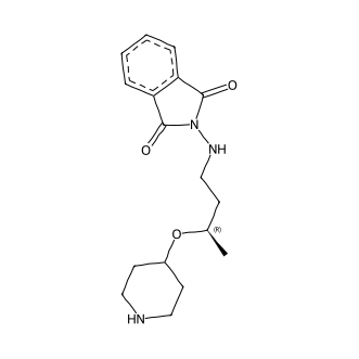 C[C@H](CCNN1C(=O)c2ccccc2C1=O)OC1CCNCC1